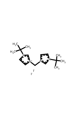 CC(C)(C)n1cc[n+](C[n+]2ccn(C(C)(C)C)c2)c1.[I-].[I-]